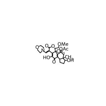 COCC1OC(=O)C(=CN2CCOCC2)C2=C(O)C(=O)C3=C(C(OC(C)=O)CC4(C)C(O)CCC34)C21C